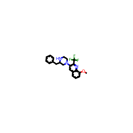 COc1cccc2cc(N3CCNC(Cc4ccccc4)C3)c(C(F)(F)F)nc12